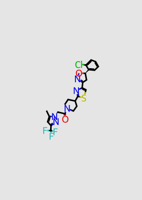 Cc1cc(C(F)(F)F)nn1CC(=O)N1CCC(c2nc(C3=NO[C@@H](c4ccccc4Cl)C3)cs2)CC1